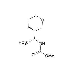 COC(=O)N[C@H](C(=O)O)[C@H]1CCCOC1